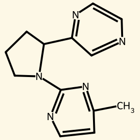 Cc1ccnc(N2CCCC2c2cnccn2)n1